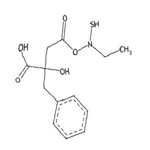 CCN(S)OC(=O)CC(O)(Cc1ccccc1)C(=O)O